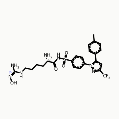 Cc1ccc(-c2cc(C(F)(F)F)nn2-c2ccc(S(=O)(=O)NC(=O)[C@@H](N)CCCCN/C(N)=N\O)cc2)cc1